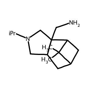 CC(C)N1CC2CC3CC(C3(C)C)C2(CN)C1